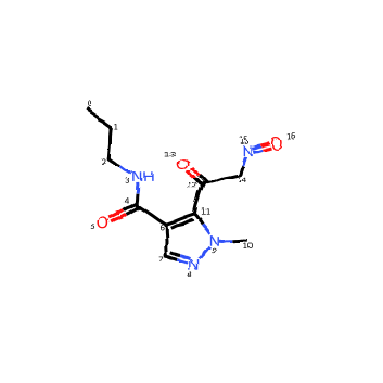 CCCNC(=O)c1cnn(C)c1C(=O)CN=O